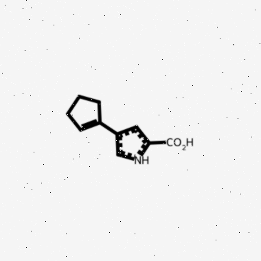 O=C(O)c1cc(C2=CCCC2)c[nH]1